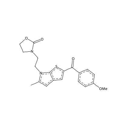 COc1ccc(C(=O)c2cc3cc(C)n(CCN4CCOC4=O)c3s2)cc1